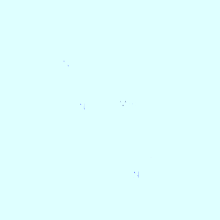 COc1cccc2c1CC(=CCCN1CCC(N3CCCCC3)CC1)c1cccnc1O2